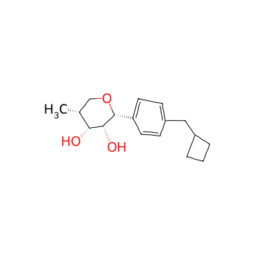 C[C@@H]1CO[C@H](c2ccc(CC3CCC3)cc2)[C@H](O)[C@@H]1O